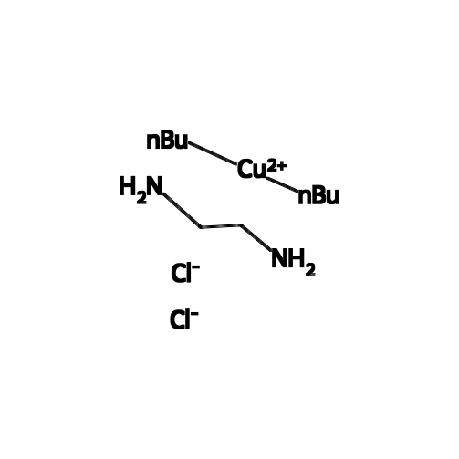 CCC[CH2][Cu+2][CH2]CCC.NCCN.[Cl-].[Cl-]